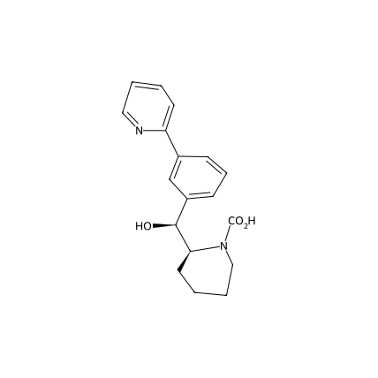 O=C(O)N1CCCC[C@H]1[C@@H](O)c1cccc(-c2ccccn2)c1